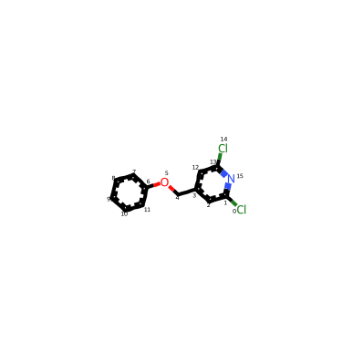 Clc1cc(COc2cc[c]cc2)cc(Cl)n1